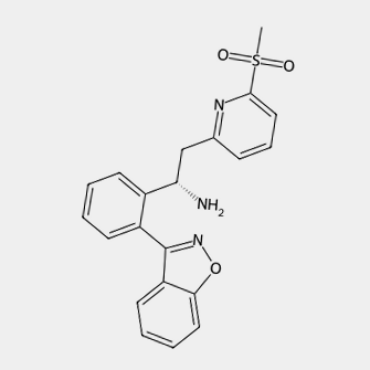 CS(=O)(=O)c1cccc(C[C@H](N)c2ccccc2-c2noc3ccccc23)n1